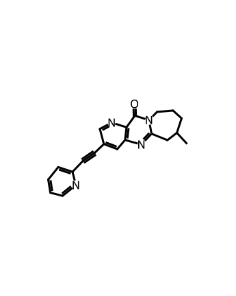 CC1CCCn2c(nc3cc(C#Cc4ccccn4)cnc3c2=O)C1